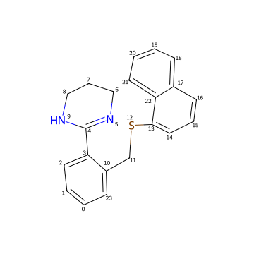 c1ccc(C2=NCCCN2)c(CSc2cccc3ccccc23)c1